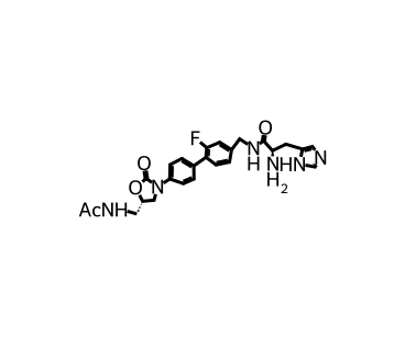 CC(=O)NC[C@H]1CN(c2ccc(-c3ccc(CNC(=O)[C@H](N)Cc4cnc[nH]4)cc3F)cc2)C(=O)O1